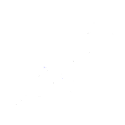 O=Cc1ccc(NCCCCCc2ccccc2)c(-c2ncco2)c1